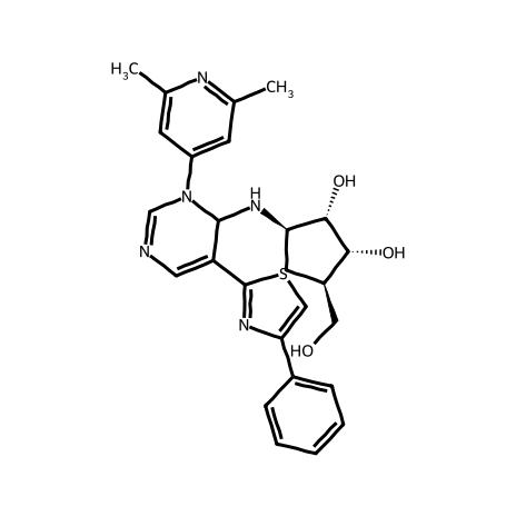 Cc1cc(N2C=NC=C(c3nc(-c4ccccc4)cs3)C2N[C@@H]2C[C@H](CO)[C@@H](O)[C@H]2O)cc(C)n1